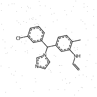 C=CNc1cc(C(c2cccc(Cl)c2)n2ccnc2)ccc1C